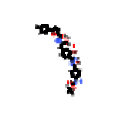 Cc1ccc(-c2ccc(C(=O)NC(Cc3ccc(-c4noc(-c5ccc(NC(=O)OC(C)(C)C)cc5)n4)c(Br)c3)C(=O)O)o2)cc1